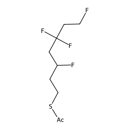 CC(=O)SCCC(F)CC(F)(F)CCF